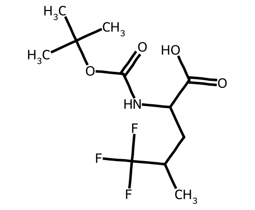 CC(CC(NC(=O)OC(C)(C)C)C(=O)O)C(F)(F)F